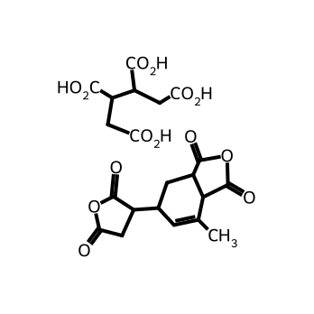 CC1=CC(C2CC(=O)OC2=O)CC2C(=O)OC(=O)C12.O=C(O)CC(C(=O)O)C(CC(=O)O)C(=O)O